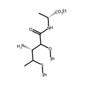 CCOC(=O)[C@@H](C)NC(=O)C(OC(C)C)[C@@H](N)C(C)SC(C)C